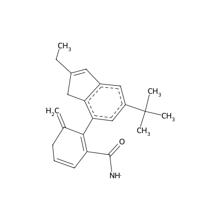 C=C1CC=CC(C([NH])=O)=C1c1cc(C(C)(C)C)cc2c1CC(CC)=C2